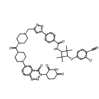 CC1(C)C(NC(=O)c2ccc(-n3cc(CN4CCN(C(=O)C5CCN(c6ccc7nnn(C8CCC(=O)NC8=O)c(=O)c7c6)CC5)CC4)nn3)cc2)C(C)(C)C1Oc1ccc(C#N)c(Cl)c1